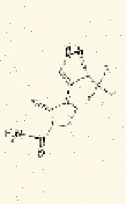 NC(=O)C1CCN(c2c[nH]nc2C(F)(F)F)C1=S